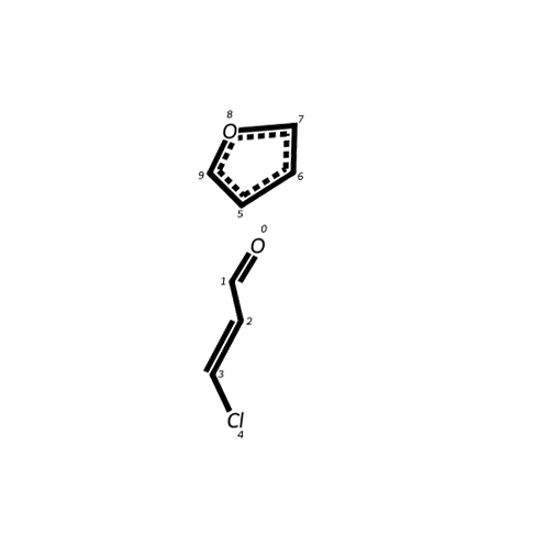 O=CC=CCl.c1ccoc1